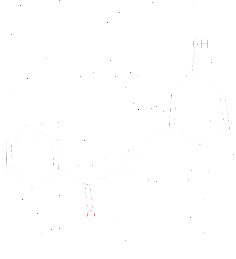 Cc1cccc(C#CC(=O)c2ccccc2)c1